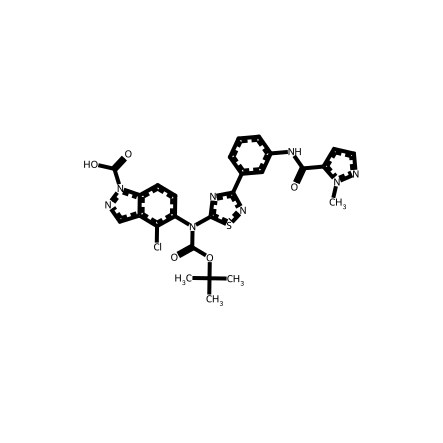 Cn1nccc1C(=O)Nc1cccc(-c2nsc(N(C(=O)OC(C)(C)C)c3ccc4c(cnn4C(=O)O)c3Cl)n2)c1